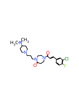 CN(C)C1CCN(CCCN2CCN(C(=O)C=Cc3ccc(F)c(Cl)c3)CCC2=O)CC1